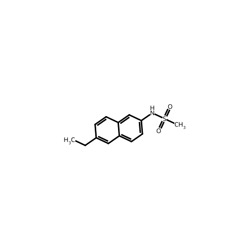 CCc1ccc2cc(NS(C)(=O)=O)ccc2c1